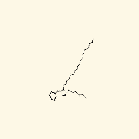 CCCCCCCCCCCCCCCCCCCc1n(Cc2ccccc2)cc[n+]1CCCCCC